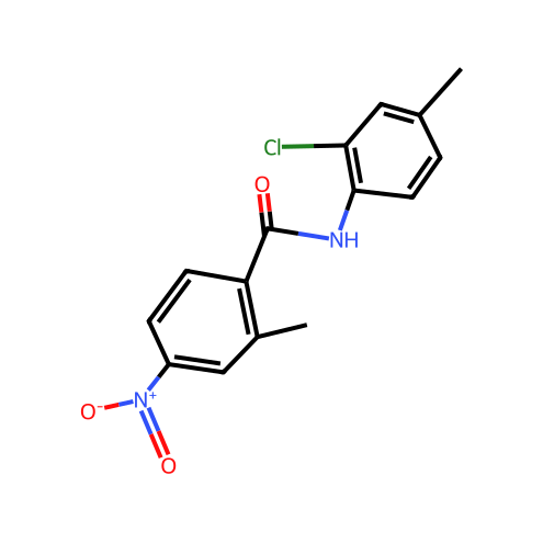 Cc1ccc(NC(=O)c2ccc([N+](=O)[O-])cc2C)c(Cl)c1